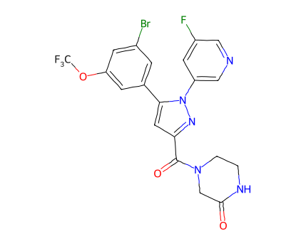 O=C1CN(C(=O)c2cc(-c3cc(Br)cc(OC(F)(F)F)c3)n(-c3cncc(F)c3)n2)CCN1